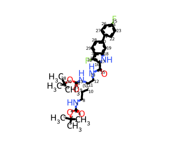 CC(C)(C)OC(=O)NCCC[C@@H](CNC(=O)c1[nH]c2cc(-c3ccc(F)cc3)ccc2c1F)NC(=O)OC(C)(C)C